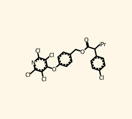 CC(C)C(C(=O)OCc1ccc(Oc2c(Cl)c(Cl)nc(Cl)c2Cl)cc1)c1ccc(Cl)cc1